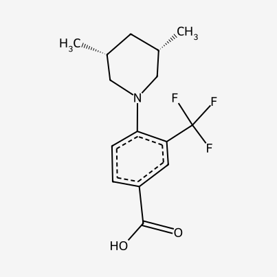 C[C@@H]1C[C@H](C)CN(c2ccc(C(=O)O)cc2C(F)(F)F)C1